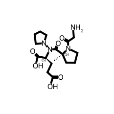 C[C@@]1(C(=O)N([C@@H](CCC(=O)O)C(=O)O)N2CCCC2)CCCN1C(=O)CN